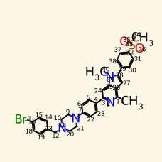 Cc1nc(-c2ccc(N3CCN(Cc4ccc(Br)cc4)CC3)cc2)cc2c1cc(-c1ccc(S(C)(=O)=O)cc1)n2C